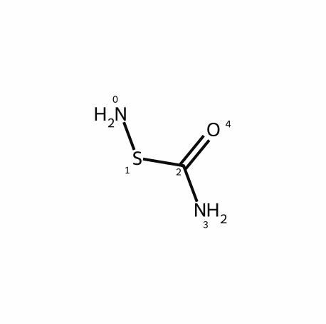 NSC(N)=O